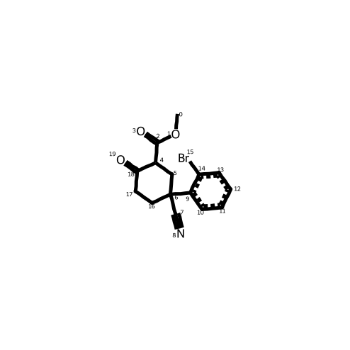 COC(=O)C1CC(C#N)(c2ccccc2Br)CCC1=O